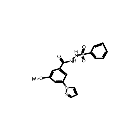 COc1cc(C(=O)NNS(=O)(=O)c2ccccc2)cc(-n2cccn2)c1